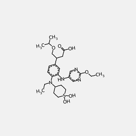 CCOc1ncc(Nc2cc(C(COC(C)C)CC(=O)O)ccc2N(CC)C2CCS(O)(O)CC2)cn1